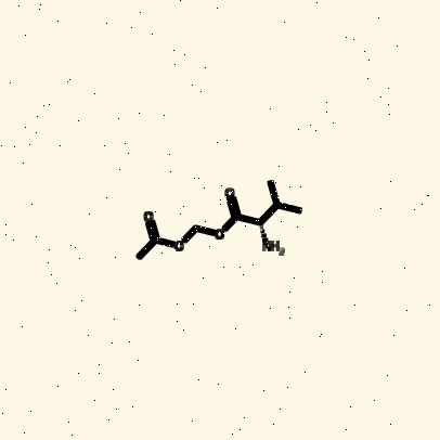 CC(=O)OCOC(=O)[C@@H](N)C(C)C